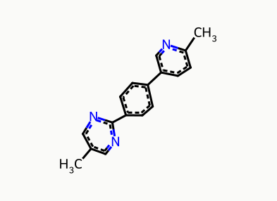 Cc1cnc(-c2ccc(-c3ccc(C)nc3)cc2)nc1